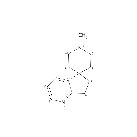 CN1CCC2(CCc3ncccc32)CC1